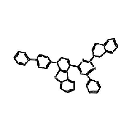 C1=C(c2nc(-c3ccccc3)nc(-c3ccc4ccccc4c3)n2)c2c(oc3ccccc23)C(c2ccc(-c3ccccc3)cc2)C1